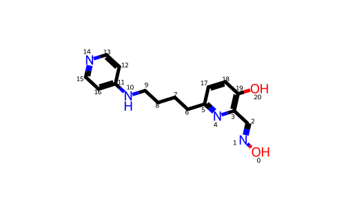 ON=Cc1nc(CCCCNc2ccncc2)ccc1O